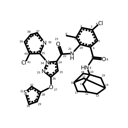 Cc1cc(Cl)cc(C(=O)NC23CC4CC(CC(C4)C2)C3)c1NC(=O)c1cc(Oc2ccsc2)nn1-c1ncccc1Cl